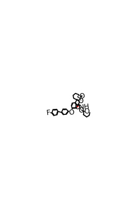 O=C(CC1(c2ccc(Oc3ccc(-c4ccc(F)cc4)cc3)cc2)CCCCS1(=O)=O)NOC1CCCCO1